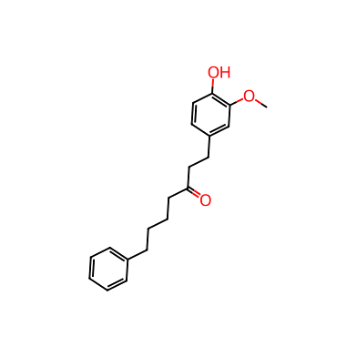 COc1cc(CCC(=O)CCCCc2ccccc2)ccc1O